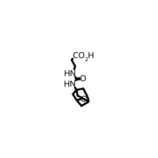 O=C(O)CCNC(=O)NC12CC3CC(C1)C(C3)C2